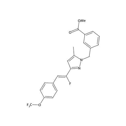 COC(=O)c1cccc(Cn2nc(C(F)=Cc3ccc(OC(F)(F)F)cc3)cc2C)c1